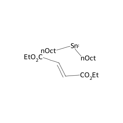 CCCCCCC[CH2][Sn][CH2]CCCCCCC.CCOC(=O)C=CC(=O)OCC